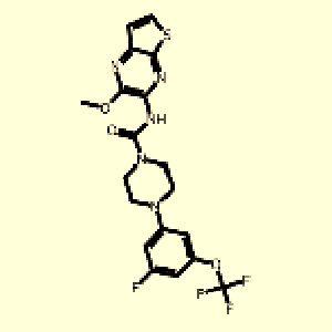 COc1nc2ccsc2nc1NC(=O)N1CCN(c2cc(F)cc(OC(F)(F)F)c2)CC1